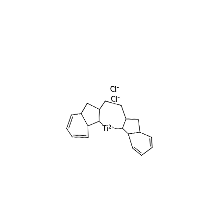 C1=CC2CC3CCC4CC5C=CC=CC5[CH]4[Ti+2][CH]3C2C=C1.[Cl-].[Cl-]